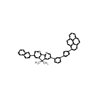 CC1(C)c2cc(-c3cccc(-c4ccc(-c5ccc6ccc7cccc8ccc5c6c78)cc4)c3)cnc2-c2ncc(-c3ccc4ccccc4c3)cc21